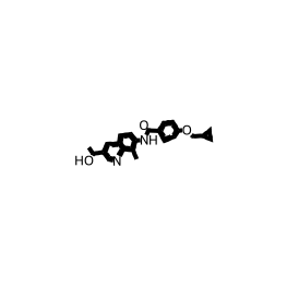 Cc1c(NC(=O)c2ccc(OCC3CC3)cc2)ccc2cc(C(C)O)cnc12